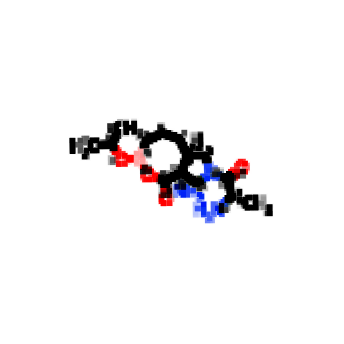 CC(C)OB1CCC[C@H]2CN(C(=O)[C@H](C)N)C[C@@]2(N)C(=O)O1